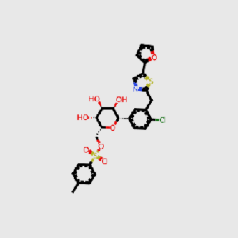 Cc1ccc(S(=O)(=O)OC[C@H]2O[C@@H](c3ccc(Cl)c(Cc4ncc(-c5ccco5)s4)c3)[C@H](O)[C@H](O)[C@H]2O)cc1